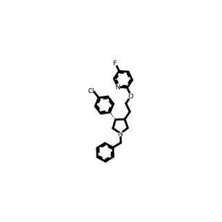 Fc1ccc(OCCC2CN(Cc3ccccc3)C[C@@H]2c2ccc(Cl)cc2)nc1